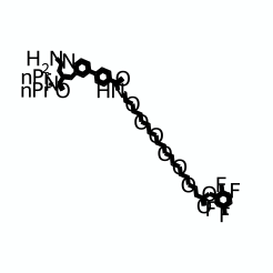 CCCN(CCC)C(=O)C1=Cc2cc(-c3ccc(C(=O)NCCOCCOCCOCCOCCOCCOCCC(=O)Oc4c(F)c(F)cc(F)c4F)cc3)ccc2N=C(N)C1